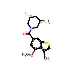 COc1cc(C(=O)N2C[C@H](C)C[C@@H](F)C2)cc2scc(C)c12